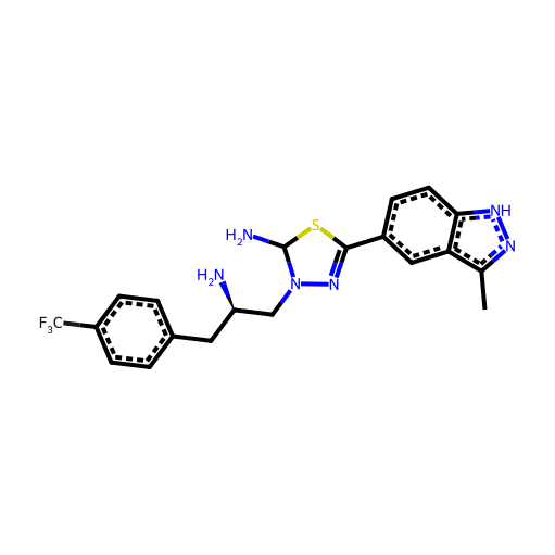 Cc1n[nH]c2ccc(C3=NN(C[C@H](N)Cc4ccc(C(F)(F)F)cc4)C(N)S3)cc12